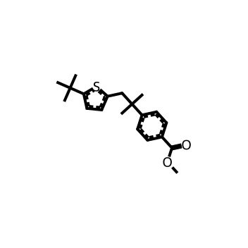 COC(=O)c1ccc(C(C)(C)Cc2ccc(C(C)(C)C)s2)cc1